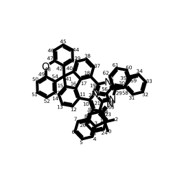 CC1(C)c2ccccc2-c2c(-c3cccc4c3-c3c(-c5nc(-c6ccccc6)nc(-c6ccccc6)n5)cccc3C43c4ccccc4Oc4ccccc43)nc(-c3ccccc3)nc21